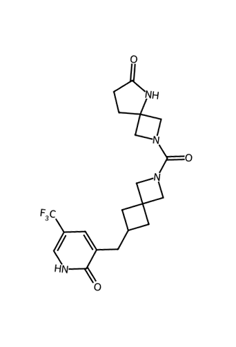 O=C1CCC2(CN(C(=O)N3CC4(CC(Cc5cc(C(F)(F)F)c[nH]c5=O)C4)C3)C2)N1